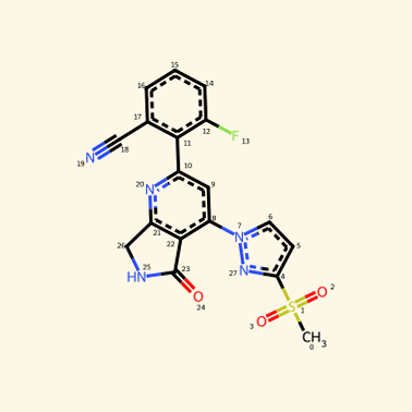 CS(=O)(=O)c1ccn(-c2cc(-c3c(F)cccc3C#N)nc3c2C(=O)NC3)n1